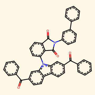 O=C(c1ccccc1)c1ccc2c3ccc(C(=O)c4ccccc4)cc3n(-c3cccc4c3C(=O)N(c3cccc(-c5ccccc5)c3)C4=O)c2c1